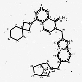 C=C1c2cncc(N3CC4(CCCCC4)C3)c2C=CN1Cc1cn2cc(CN3CC4CCC(C3)N4C)ccc2n1